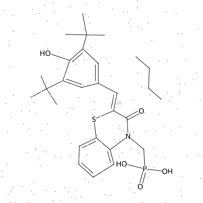 CC(C)(C)c1cc(/C=C2\Sc3ccccc3N(CP(=O)(O)O)C2=O)cc(C(C)(C)C)c1O.CCCC